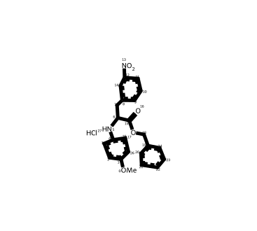 COc1ccc(NC(Cc2cccc([N+](=O)[O-])c2)C(=O)OCc2ccccc2)cc1.Cl